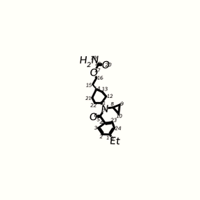 CCc1ccc(C(=O)N(C2CC2)[C@H]2CC[C@H](CCOC(N)=O)CC2)cc1